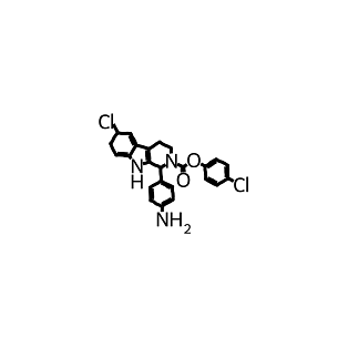 Nc1ccc(C2c3[nH]c4c(c3CCN2C(=O)Oc2ccc(Cl)cc2)=CC(Cl)CC=4)cc1